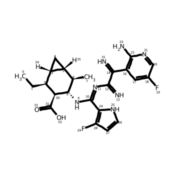 CC[C@H]1[C@@H]2C[C@@H]2[C@@H](C)[C@H](N/C(=N/C(=N)C(=N)c2cc(F)cnc2N)c2[nH]ccc2F)[C@H]1C(=O)O